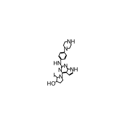 OC1CCN(c2nc(Nc3ccc(N4CCNCC4)cc3)nc3[nH]ccc23)C1I